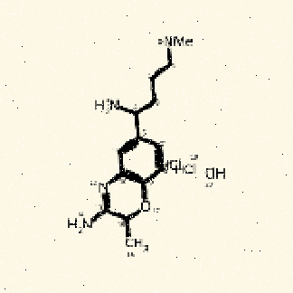 CNCCCC(N)c1ccc2c(c1)N=C(N)C(C)O2.Cl.Cl.Cl